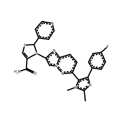 Cc1nc(-c2ccc(F)cc2)c(-c2ccc3nc(N4C(C(N)=O)=CSC4c4ccncc4)cn3n2)n1C